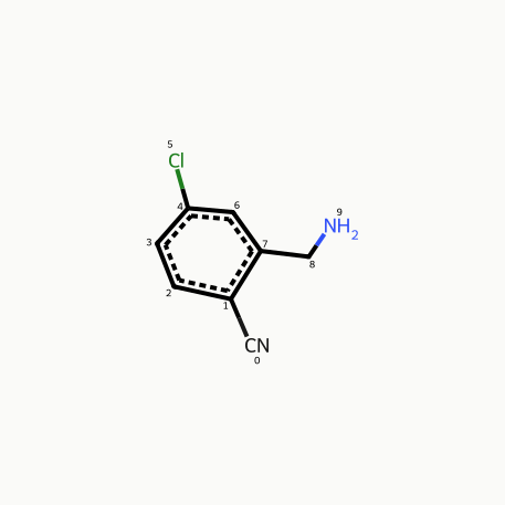 N#Cc1ccc(Cl)cc1CN